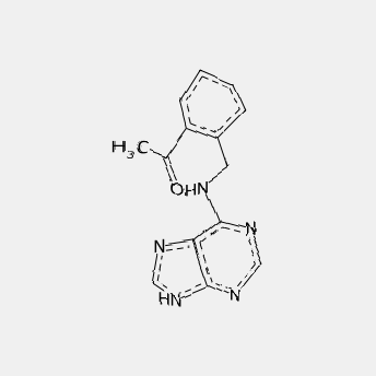 CC(=O)c1ccccc1CNc1ncnc2[nH]cnc12